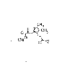 Cc1sc(CNC(=O)OC(C)(C)C)c(CCC(=O)C2CC2)c1C